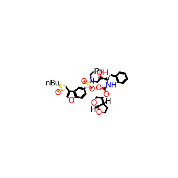 CCCC[S+]([O-])Cc1coc2ccc(S(=O)(=O)N(CC(C)C)C[C@@H](O)[C@H](Cc3ccccc3)NC(=O)OC3CO[C@H]4OCC[C@@H]34)cc12